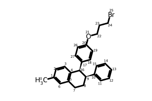 Cc1ccc2c(c1)CC[C@H](c1ccccc1)[C@@H]2c1ccc(OCCCBr)cc1